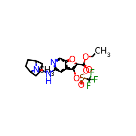 CCOC(=O)c1oc2cnc(NC3CC4CCC(C3)N4C)cc2c1OS(=O)(=O)C(F)(F)F